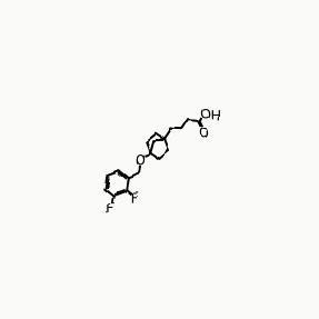 O=C(O)CCCC12CCC(OCc3cccc(F)c3F)(CC1)C2